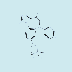 Cc1nnc2n1-c1ccc(B3OC(C)(C)C(C)(C)O3)cc1N(c1ccc(Cl)cc1)CC2C